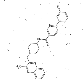 Cc1nc2ccccc2nc1CN1CCC(NC(=O)c2ccc(-c3cccc(F)c3)nc2)CC1